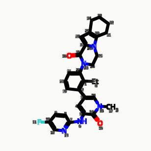 CCc1c(-c2cc(Nc3ccc(F)cn3)c(=O)n(C)c2)cccc1N1CCn2c(cc3c2CCCC3)C1=O